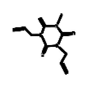 C=CCN1C(=C)N(C)C(=O)N(CC=C)C1=O